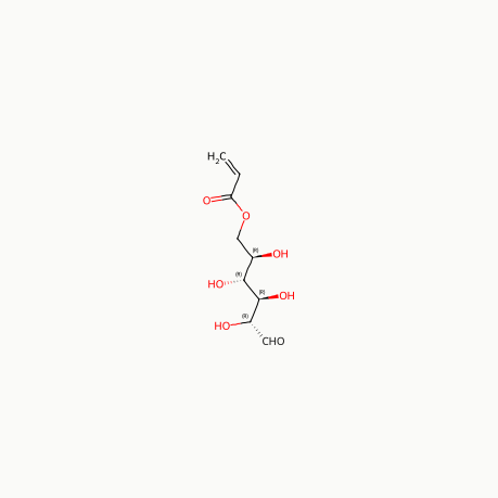 C=CC(=O)OC[C@@H](O)[C@@H](O)[C@@H](O)[C@@H](O)C=O